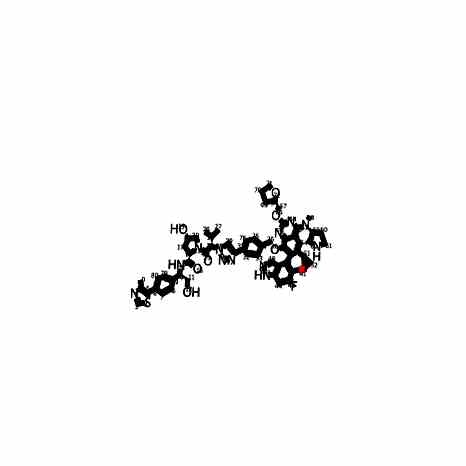 Cc1ncsc1-c1ccc([C@H](CO)NC(=O)[C@@H]2C[C@@H](O)CN2C(=O)[C@H](C(C)C)n2cc(-c3ccc(COc4c(-c5c(C)c(F)cc6[nH]ncc56)c(C5CC5)cc5c(N(C)[C@H]6CCNC6)nc(OC[C@@H]6CCCO6)nc45)cc3)nn2)cc1